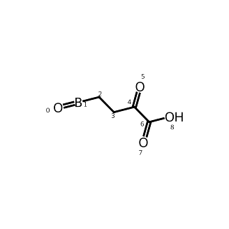 O=BCCC(=O)C(=O)O